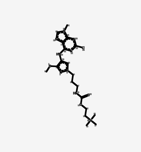 COc1nn(CCCNC(=O)OCC[Si](C)(C)C)cc1Nc1nc(Cl)nc2c1ncn2C